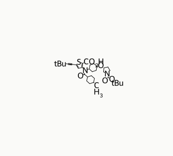 CC1CCC(C(=O)N(c2cc(C#CC(C)(C)C)sc2C(=O)O)C2CCC(OC3CCN(C(=O)OC(C)(C)C)C3)CC2)CC1